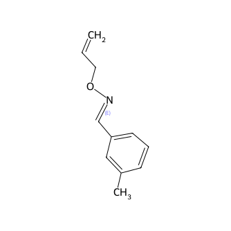 C=CCO/N=C/c1cccc(C)c1